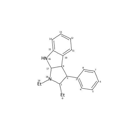 CCC1C(c2ccccc2)C2c3ccccc3NC2N1CC